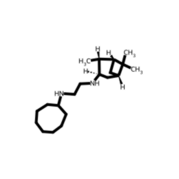 C[C@@H]1[C@H]2C[C@@H](C[C@H]1NCCNC1CCCCCCC1)C2(C)C